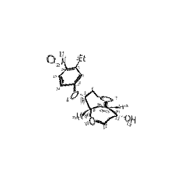 CCc1cc(O[C@@H]2CO[C@H]3[C@@H]2OC[C@H]3O)ccc1[N+](=O)[O-]